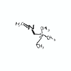 C=NC[Si](C)(C)C